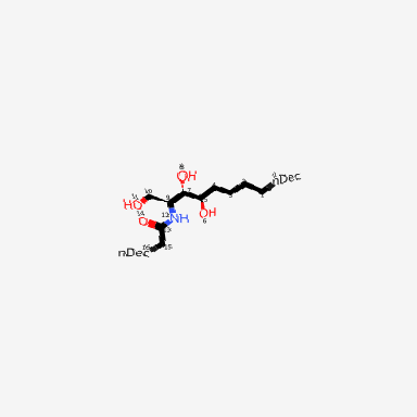 CCCCCCCCCCCCCC[C@@H](O)[C@@H](O)[C@H](CO)NC(=O)CCCCCCCCCCC